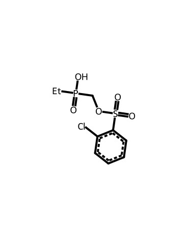 CCP(=O)(O)COS(=O)(=O)c1ccccc1Cl